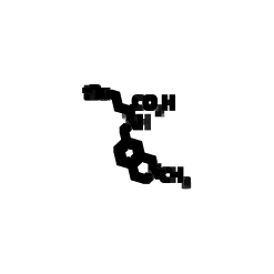 CN1CCc2ccc(CN[C@@H](CCC(C)(C)C)C(=O)O)cc2C1